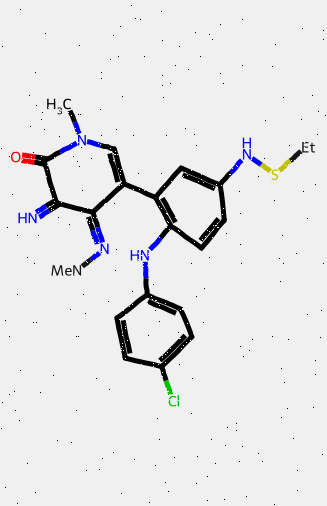 CCSNc1ccc(Nc2ccc(Cl)cc2)c(C2=CN(C)C(=O)C(=N)/C2=N\NC)c1